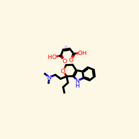 CCCC1(CCN(C)C)OCCc2c1[nH]c1ccccc21.O=C(O)/C=C\C(=O)O